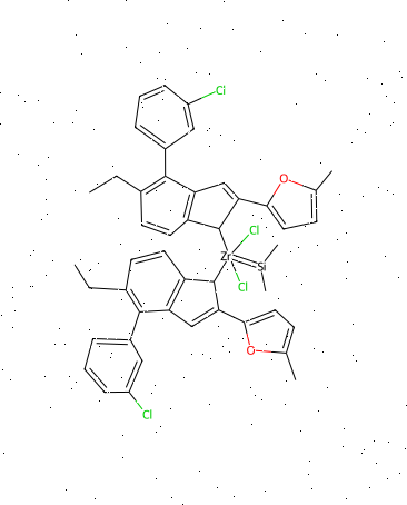 CCc1ccc2c(c1-c1cccc(Cl)c1)C=C(c1ccc(C)o1)[CH]2[Zr]([Cl])([Cl])([CH]1C(c2ccc(C)o2)=Cc2c1ccc(CC)c2-c1cccc(Cl)c1)=[Si](C)C